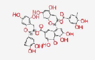 Cc1cc(C(=O)O[C@H]2Cc3c(O)cc(O)cc3O[C@H]2c2cc(O)c(O)c3c(=O)c(O)cc(C(=O)O[C@H]4Cc5c(O)cc(O)cc5O[C@H]4c4ccc(O)c(O)c4)cc23)cc(O)c1O